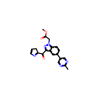 COC(=O)Cn1nc(C(=O)C2=NC=CC2)c2cc(-c3cnc(C)nc3)ccc21